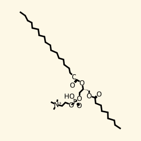 CCCCCCCCCCCCCCCCCCC(=O)O[C@H](COC(=O)CCCCCCCC)COP(=O)(O)OCC[N+](C)(C)C